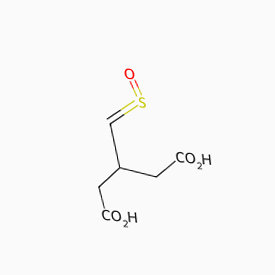 O=S=CC(CC(=O)O)CC(=O)O